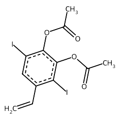 C=Cc1cc(I)c(OC(C)=O)c(OC(C)=O)c1I